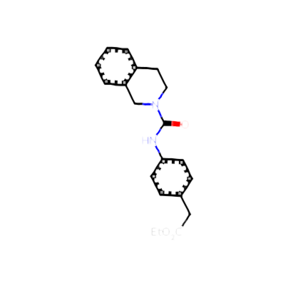 CCOC(=O)Cc1ccc(NC(=O)N2CCc3ccccc3C2)cc1